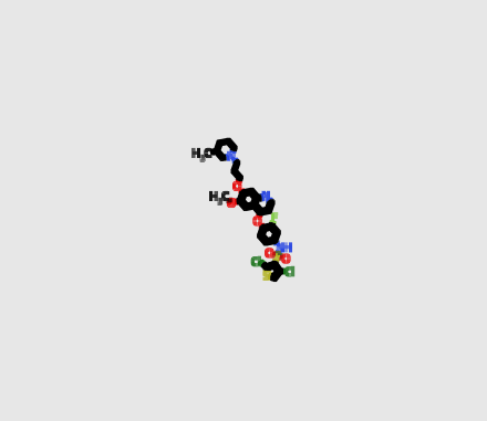 COc1cc2c(Oc3ccc(NS(=O)(=O)c4c(Cl)csc4Cl)cc3F)ccnc2cc1OCCCN1CCCC(C)C1